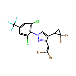 FC(F)(F)c1cc(Cl)c(-n2cc(C3CC3(Br)Br)c(C=C(Br)Br)n2)c(Cl)c1